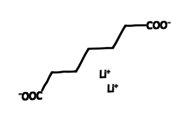 O=C([O-])CCCCCC(=O)[O-].[Li+].[Li+]